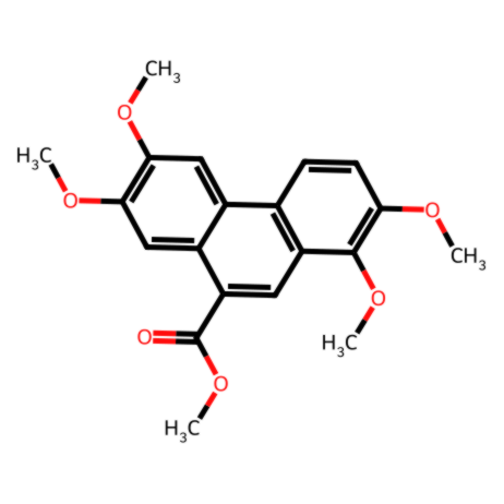 COC(=O)c1cc2c(OC)c(OC)ccc2c2cc(OC)c(OC)cc12